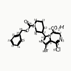 O=C(O)c1cnc(Cl)c2c(Br)nc(C3CCCN(C(=O)OCc4ccccc4)C3)n12